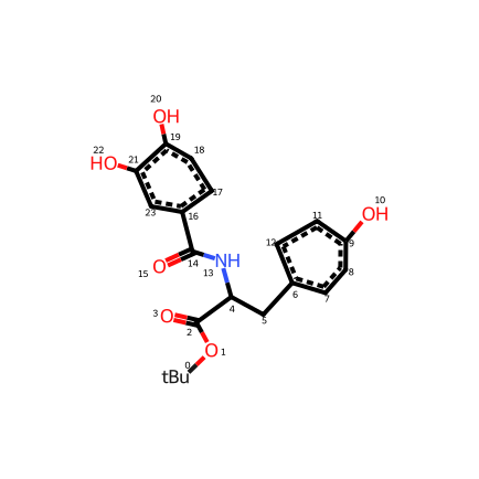 CC(C)(C)OC(=O)C(Cc1ccc(O)cc1)NC(=O)c1ccc(O)c(O)c1